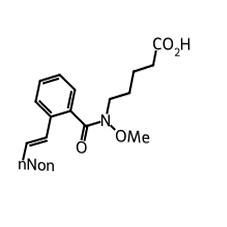 CCCCCCCCC/C=C/c1ccccc1C(=O)N(CCCCC(=O)O)OC